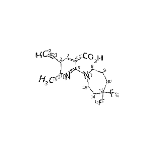 C#Cc1cc(C(=O)O)c(N2CCCC(F)(F)CC2)nc1C